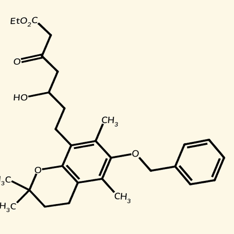 CCOC(=O)CC(=O)CC(O)CCc1c(C)c(OCc2ccccc2)c(C)c2c1OC(C)(C)CC2